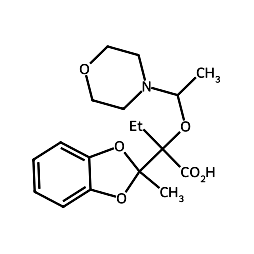 CCC(OC(C)N1CCOCC1)(C(=O)O)C1(C)Oc2ccccc2O1